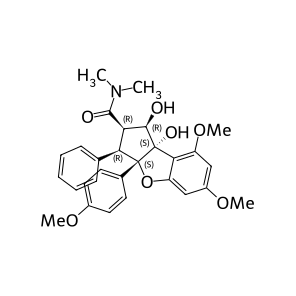 COc1ccc([C@]23Oc4cc(OC)cc(OC)c4[C@]2(O)[C@H](O)[C@H](C(=O)N(C)C)[C@@H]3c2ccccc2)cc1